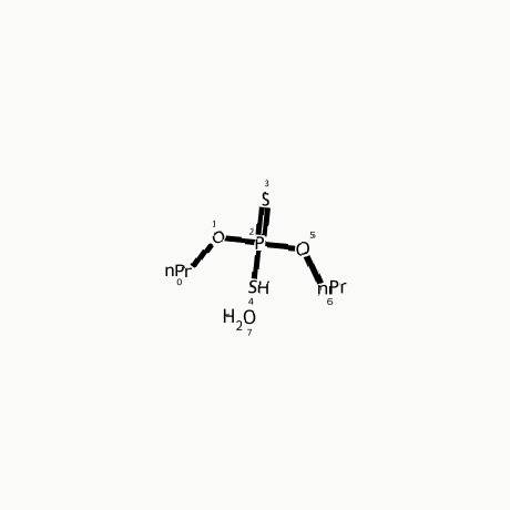 CCCOP(=S)(S)OCCC.O